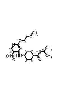 COCCOc1cc(N[C@H]2CC[C@@H](C(=O)NC(C)C)CC2)c([N+](=O)[O-])cn1